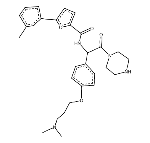 Cc1cccc(-c2ccc(C(=O)NC(C(=O)N3CCNCC3)c3ccc(OCCCN(C)C)cc3)o2)c1